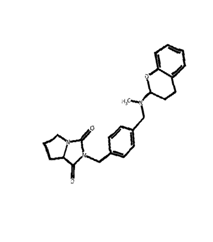 CN(Cc1ccc(CN2C(=O)C3CCCN3C2=O)cc1)C1CCc2ccccc2O1